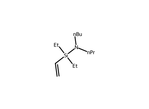 C=C[Si](CC)(CC)N(CCC)CCCC